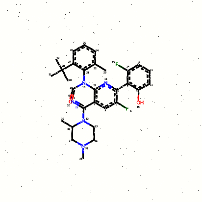 C/N=C(\c1cc(F)c(-c2c(O)cccc2F)nc1N(C=O)c1c(C)cccc1C(C)(C)C)N1CCN(C)CC1C